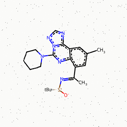 CC(=N[S@+]([O-])C(C)(C)C)c1cc(C)cc2c1nc(N1CCCCC1)n1ncnc21